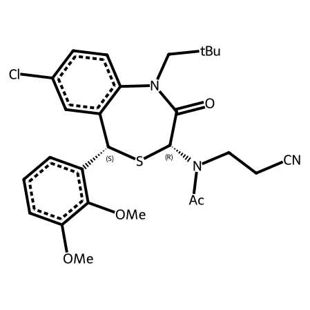 COc1cccc([C@H]2S[C@@H](N(CCC#N)C(C)=O)C(=O)N(CC(C)(C)C)c3ccc(Cl)cc32)c1OC